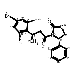 CC(CC(=O)N1C(=O)OC[C@H]1c1ccccc1)c1c(F)cc(Br)cc1F